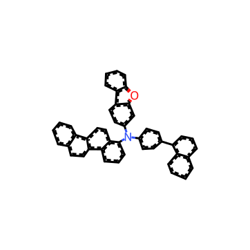 c1ccc2c(-c3ccc(N(c4ccc5c(c4)oc4ccccc45)c4cccc5c4ccc4c6ccccc6ccc54)cc3)cccc2c1